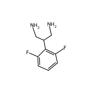 NCC(CN)c1c(F)cccc1F